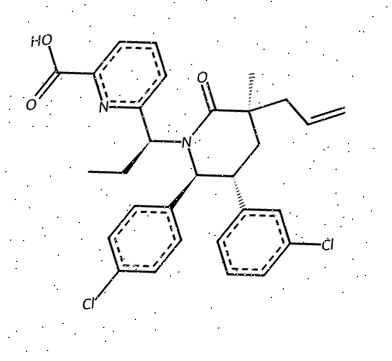 C=CC[C@@]1(C)C[C@H](c2cccc(Cl)c2)[C@@H](c2ccc(Cl)cc2)N([C@@H](CC)c2cccc(C(=O)O)n2)C1=O